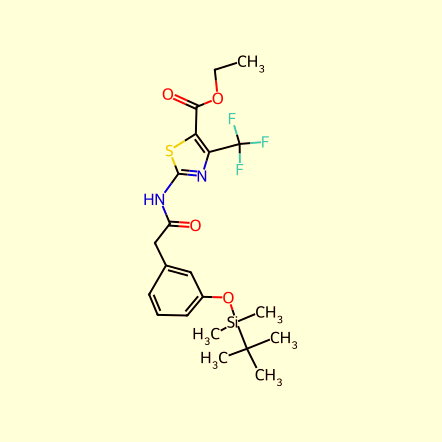 CCOC(=O)c1sc(NC(=O)Cc2cccc(O[Si](C)(C)C(C)(C)C)c2)nc1C(F)(F)F